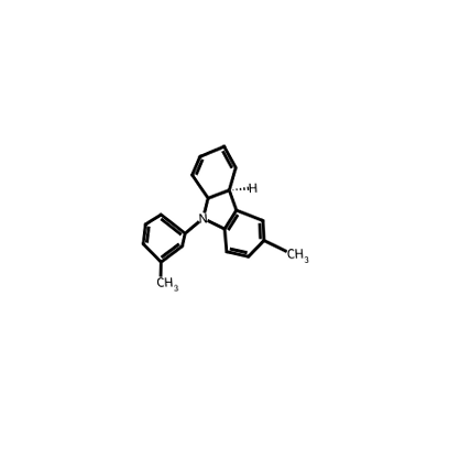 Cc1cccc(N2c3ccc(C)cc3[C@@H]3C=CC=CC32)c1